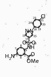 COC(=O)c1cc(N)ccc1NS(=O)(=O)c1cnn(-c2ccc(Cl)cc2)c1